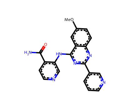 COc1ccc2nc(-c3cccnc3)nc(Nc3cnccc3C(N)=O)c2c1